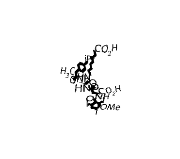 COc1c(I)cc(I)c(C(=O)N[C@@H](CC(=O)N[C@H](CNC(=O)[C@@H](C)c2ccc(CC(C)C)cc2)C(=O)NCCCCCCCCC(=O)O)C(=O)O)c1I